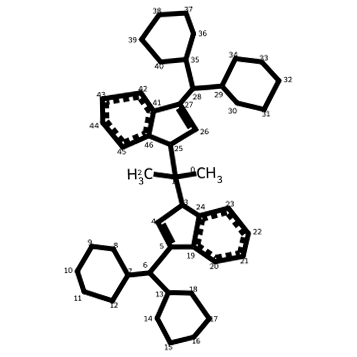 CC(C)(C1C=C(C(C2CCCCC2)C2CCCCC2)c2ccccc21)C1C=C(C(C2CCCCC2)C2CCCCC2)c2ccccc21